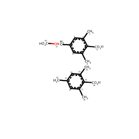 Cc1cc(C)c(C(=O)O)c(C)c1.Cc1cc(C)c(C(=O)O)c(C)c1.O=C(O)O